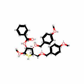 COc1ccc(COC[C@H]2SC(OC)[C@@H](OC(=O)c3ccccc3)[C@@H]2OCc2ccc(OC)cc2)cc1